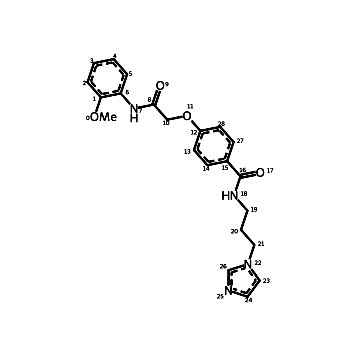 COc1ccccc1NC(=O)COc1ccc(C(=O)NCCCn2ccnc2)cc1